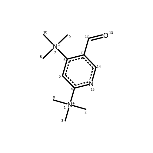 C[N+](C)(C)c1cc([N+](C)(C)C)c(C=O)cn1